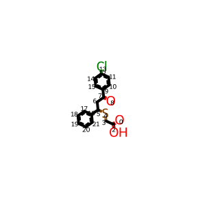 O=C(O)CSC(CC(=O)c1ccc(Cl)cc1)c1ccccc1